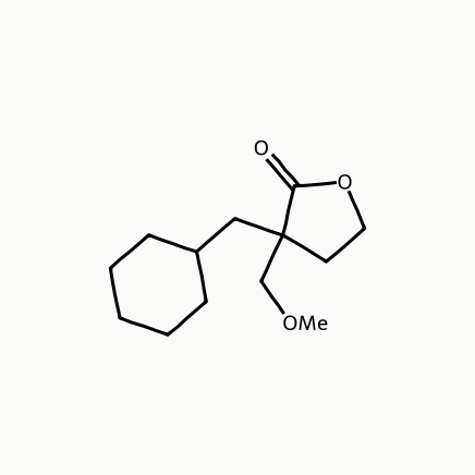 COCC1(CC2CCCCC2)CCOC1=O